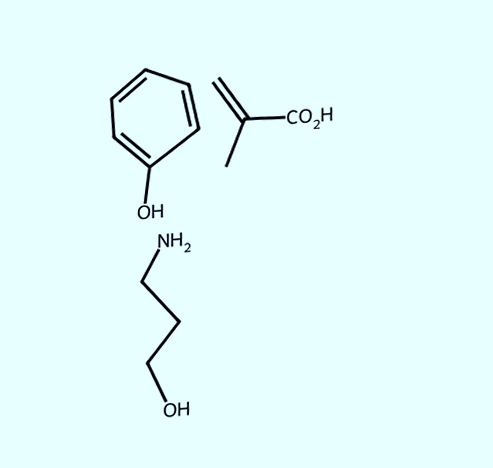 C=C(C)C(=O)O.NCCCO.Oc1ccccc1